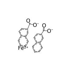 O=C([O-])c1ccc2ccccc2c1.O=C([O-])c1ccc2ccccc2c1.[Fe+2]